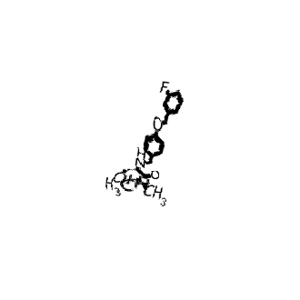 CN(C)C(=O)[C@H](CO)NCc1ccc(OCc2cccc(F)c2)cc1